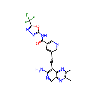 Cc1nc2cnc(N)c(C#Cc3cncc(C(=O)Nc4nnc(C(F)(F)F)o4)c3)c2nc1C